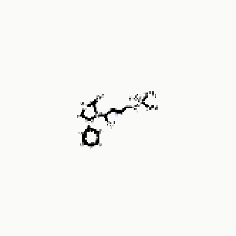 CC(C)(C)[Si](C)(C)OC/C=C/C(O)N1C(=O)OC[C@H]1c1ccccc1